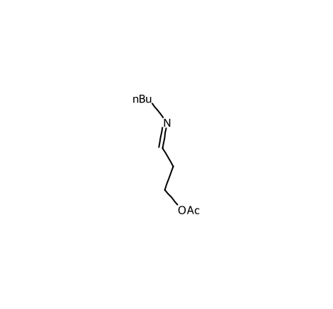 CCCCN=CCCOC(C)=O